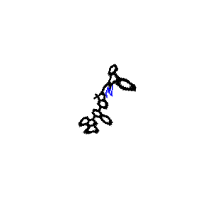 CC1(C)c2cc(-c3ccc(-c4cc5ccccc5c5ccccc45)c4ccccc34)ccc2-c2nc3c4ccccc4c4ccccc4c3cc21